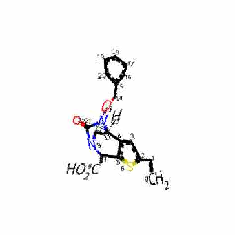 C=Cc1cc2c(s1)C(C(=O)O)N1C[C@H]2N(OCc2ccccc2)C1=O